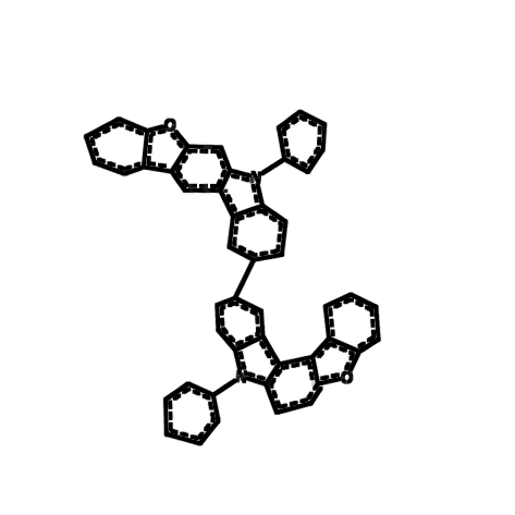 c1ccc(-n2c3ccc(-c4ccc5c(c4)c4c6c(ccc4n5-c4ccccc4)oc4ccccc46)cc3c3cc4c(cc32)oc2ccccc24)cc1